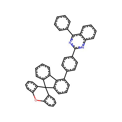 c1ccc(-c2nc(-c3ccc(-c4cccc5c4-c4ccccc4C54c5ccccc5Oc5ccccc54)cc3)nc3ccccc23)cc1